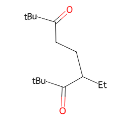 CCC(CCC(=O)C(C)(C)C)C(=O)C(C)(C)C